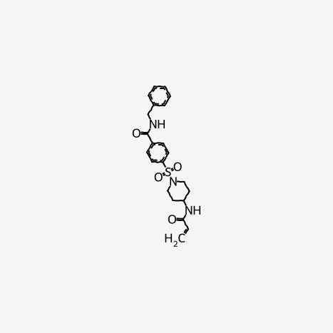 C=CC(=O)NC1CCN(S(=O)(=O)c2ccc(C(=O)NCc3ccccc3)cc2)CC1